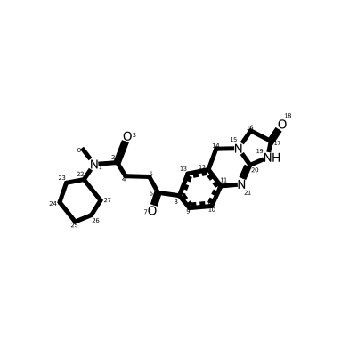 CN(C(=O)CCC(=O)c1ccc2c(c1)CN1CC(=O)NC1=N2)C1CCCCC1